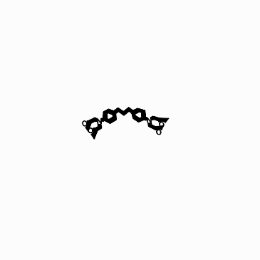 c1cc(N(CC2CO2)CC2CO2)ccc1CCCc1ccc(N(CC2CO2)CC2CO2)cc1